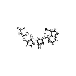 CC(C)NC(=O)O[C@@H]1CC[C@H](c2cc(Nc3nccn4ncc(Br)c34)n[nH]2)[C@H]1F